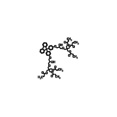 C=CC(=O)OCC(COCC(O)COc1ccc(C2(c3ccc(OCC(O)COCC(COC(=O)C=C)(COC(=O)C=C)COC(=O)C=C)cc3)c3ccccc3-c3ccccc32)cc1)(COC(=O)C=C)COC(=O)C=C